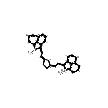 Cn1/c(=C\C=C2\CC/C(=C/C=c3/c4cccc5cccc(c54)n3C)C2)c2cccc3cccc1c32